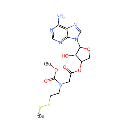 CC(C)(C)OC(=O)N(CCSSC(C)(C)C)CC(=O)OC1COC(n2cnc3c(N)ncnc32)C1O